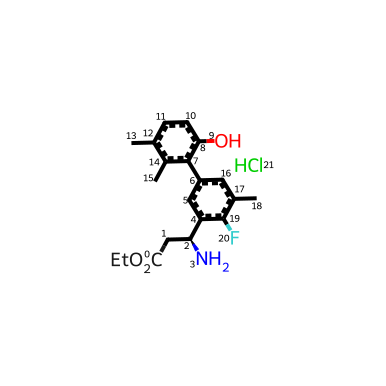 CCOC(=O)C[C@H](N)c1cc(-c2c(O)ccc(C)c2C)cc(C)c1F.Cl